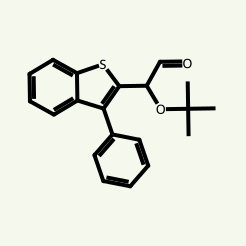 CC(C)(C)OC(C=O)c1sc2ccccc2c1-c1ccccc1